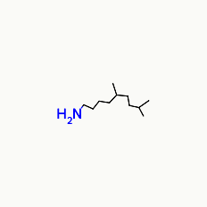 CC(C)CCC(C)CCCCN